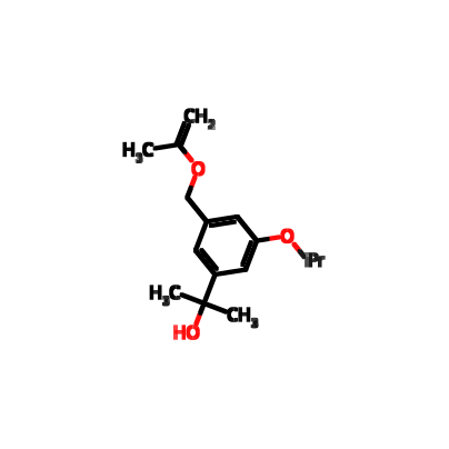 C=C(C)OCc1cc(OC(C)C)cc(C(C)(C)O)c1